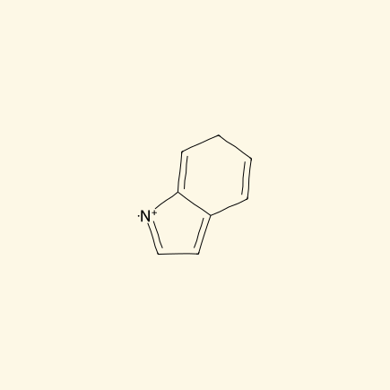 C1=CC2=CC=[N+]C2=CC1